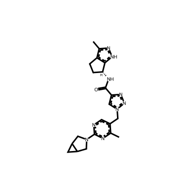 Cc1nc(N2CC3CC3C2)ncc1Cn1cc(C(=O)N[C@@H]2CCc3c(C)n[nH]c32)nn1